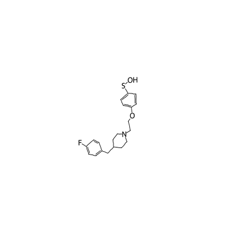 OSc1ccc(OCCN2CCC(Cc3ccc(F)cc3)CC2)cc1